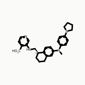 CN(c1ccc(N2CCCC2)cc1)c1ccc2c(c1)CCC[C@H]2CNc1cnccc1C(=O)O